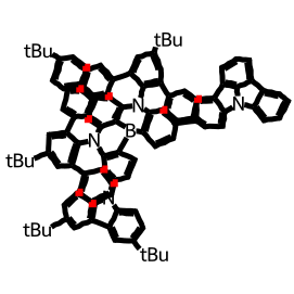 CC(C)(C)c1ccc(-c2cc3c4c(c2)N(c2c(-c5ccccc5)cc(C(C)(C)C)cc2-c2ccccc2)c2cc(-n5c6ccc(C(C)(C)C)cc6c6cc(C(C)(C)C)ccc65)ccc2B4c2ccc(-c4ccc5c(c4)c4cccc6c7ccccc7n5c64)cc2N3c2c(-c3ccccc3)cc(C(C)(C)C)cc2-c2ccccc2)cc1